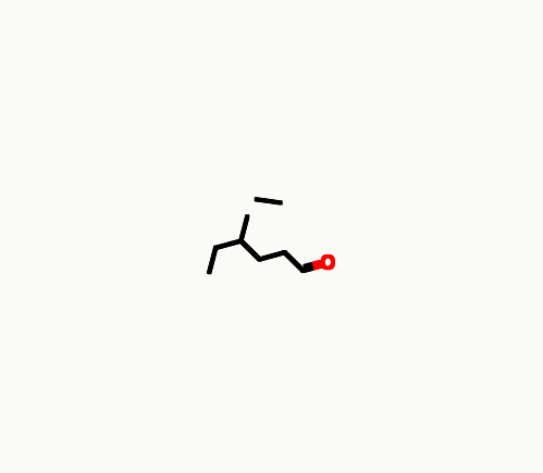 CC.CCC(C)CCC=O